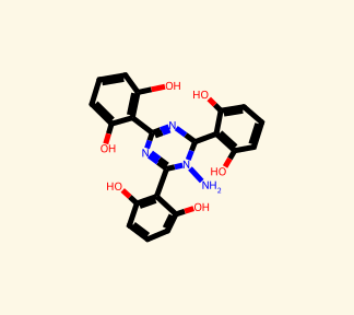 NN1C(c2c(O)cccc2O)=NC(c2c(O)cccc2O)=NC1c1c(O)cccc1O